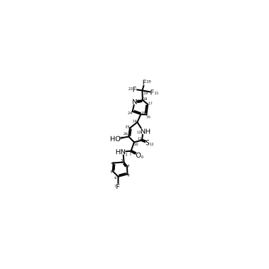 O=C(Nc1ccc(F)cc1)C1C(=S)NC(c2ccc(C(F)(F)F)nc2)C=C1O